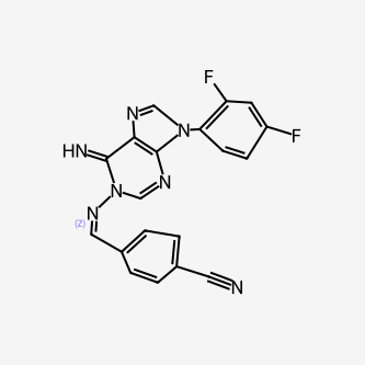 N#Cc1ccc(/C=N\n2cnc3c(ncn3-c3ccc(F)cc3F)c2=N)cc1